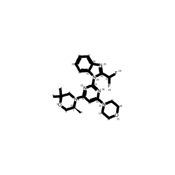 C[C@H]1COC(C)(C)CN1c1cc(N2CCOCC2)nc(-n2c(C(F)F)nc3ccccc32)n1